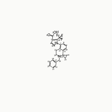 O=C(O)c1cnn(-c2cccc3c2CCN(Cc2ccccc2)C32CC2)c1C(F)(F)F